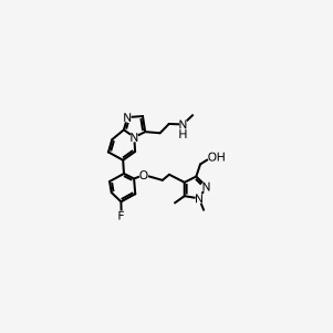 CNCCc1cnc2ccc(-c3ccc(F)cc3OCCc3c(CO)nn(C)c3C)cn12